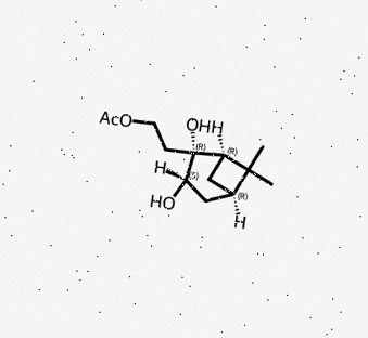 CC(=O)OCC[C@@]1(O)[C@@H]2C[C@H](C[C@@H]1O)C2(C)C